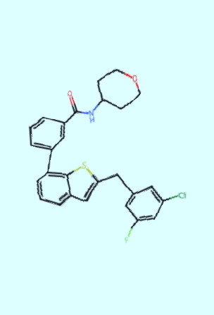 O=C(NC1CCOCC1)c1cccc(-c2cccc3cc(Cc4cc(F)cc(Cl)c4)sc23)c1